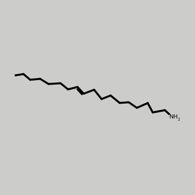 CCCCCCCC=CCCCCCCCCCN